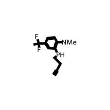 C#CCCPc1cc(C(C)(F)F)ccc1NC